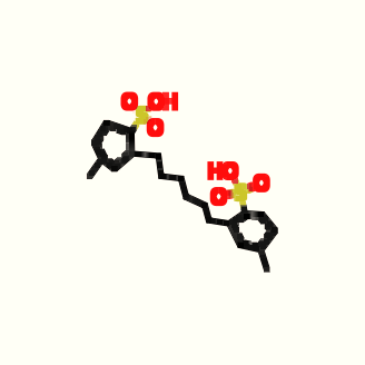 Cc1ccc(S(=O)(=O)O)c(CCCCCCc2cc(C)ccc2S(=O)(=O)O)c1